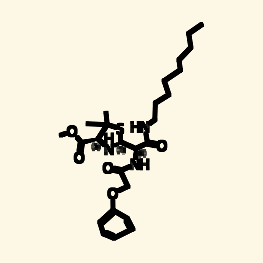 CCCCCCCCCNC(=O)[C@@H](NC(=O)COc1ccccc1)[C@@H]1N[C@@H](C(=O)OC)C(C)(C)S1